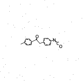 Cc1ccc(C(=O)Cc2ccc(N=C=O)cc2)cc1